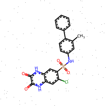 Cc1cc(NS(=O)(=O)c2cc3[nH]c(=O)c(=O)[nH]c3cc2Cl)ccc1-c1ccccc1